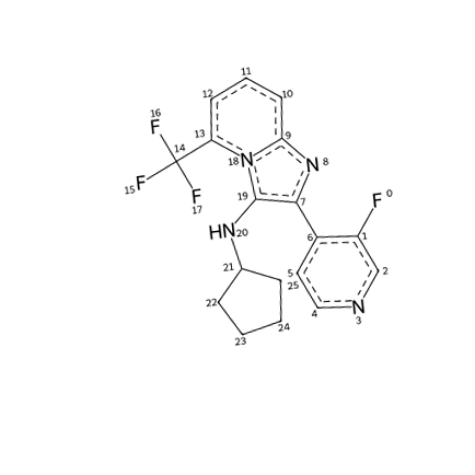 Fc1cnccc1-c1nc2cccc(C(F)(F)F)n2c1NC1CCCC1